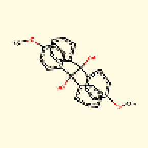 COc1ccc(C(O)(c2ccccc2)C(O)(c2ccccc2)c2ccc(OC)cc2)cc1